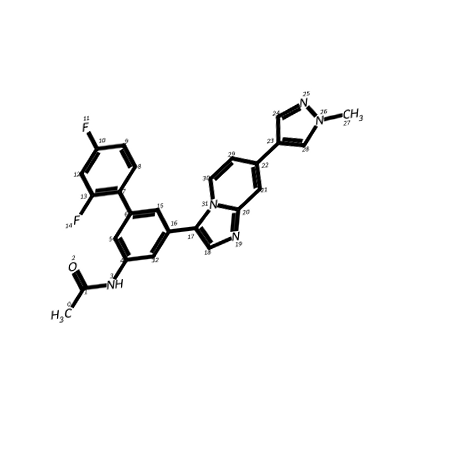 CC(=O)Nc1cc(-c2ccc(F)cc2F)cc(-c2cnc3cc(-c4cnn(C)c4)ccn23)c1